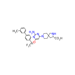 Cc1cccc(-c2ccc([C@@H](Oc3cc(N4CCC5(CC4)CNC(C(=O)O)C5)nc(N)n3)C(F)(F)F)cc2)c1